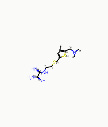 Cc1cc(CSCCNC(=N)C(=N)N)sc1CN(C)C